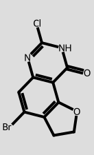 O=c1[nH]c(Cl)nc2cc(Br)c3c(c12)OCC3